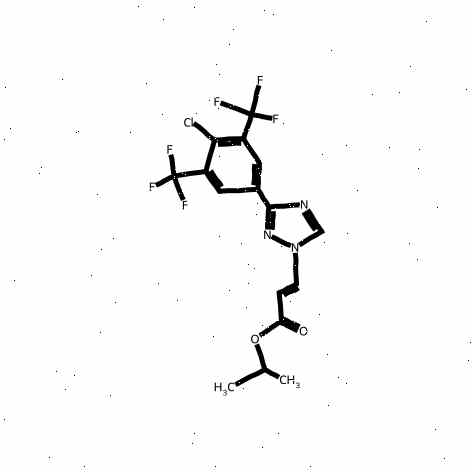 CC(C)OC(=O)C=Cn1cnc(-c2cc(C(F)(F)F)c(Cl)c(C(F)(F)F)c2)n1